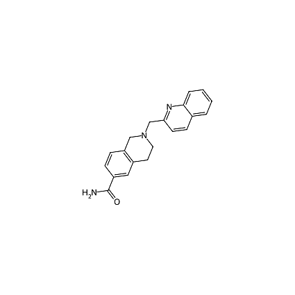 NC(=O)c1ccc2c(c1)CCN(Cc1ccc3ccccc3n1)C2